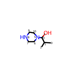 CC(C)C(O)N1CCNCC1